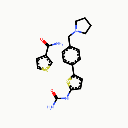 NC(=O)Nc1ccc(-c2ccc(CN3CCCC3)cc2)s1.NC(=O)c1ccsc1